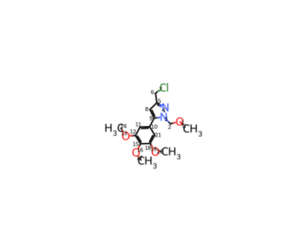 COCn1nc(CCl)cc1-c1cc(OC)c(OC)c(OC)c1